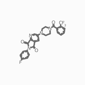 O=C(c1ccccc1C(F)(F)F)N1CCN(c2cnc3c(c2)C(=O)N(c2ccc(F)cc2)C3=O)CC1